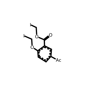 CC(=O)c1ccc(OCI)c(C(=O)OCI)c1